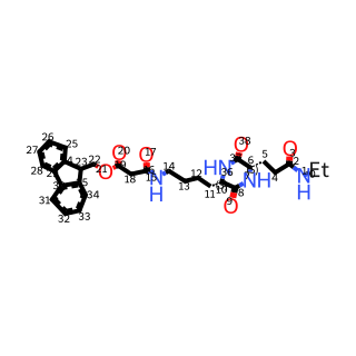 CCNC(=O)CC[C@@H]1NC(=O)[C@H](CCCCNC(=O)CC(=O)OCC2c3ccccc3-c3ccccc32)NC1=O